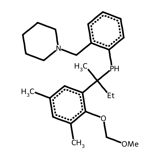 CCC(C)(Pc1ccccc1CN1CCCCC1)c1cc(C)cc(C)c1OCOC